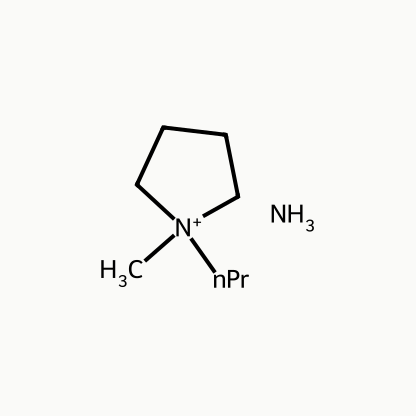 CCC[N+]1(C)CCCC1.N